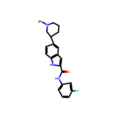 CC(C)N1CCCC(c2ccc3[nH]c(C(=O)Nc4cccc(F)c4)cc3c2)C1